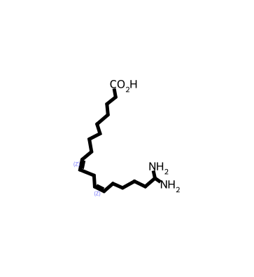 NC(N)CCCC/C=C\C/C=C\CCCCCCCC(=O)O